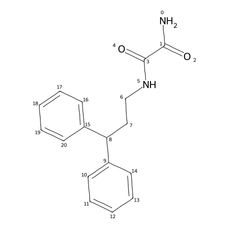 NC(=O)C(=O)NCCC(c1ccccc1)c1ccccc1